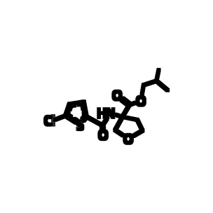 CC(C)COC(=O)C1(NC(=O)c2ccc(Cl)s2)CCOC1